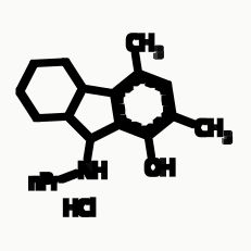 CCCNC1c2c(O)c(C)cc(C)c2C2CCCCC21.Cl